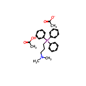 CC(=O)O.CC(=O)[O-].CN(C)CCC[P+](c1ccccc1)(c1ccccc1)c1ccccc1